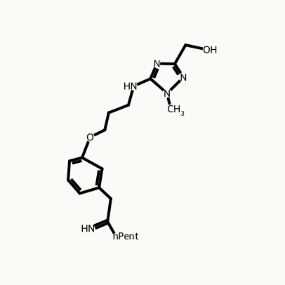 CCCCCC(=N)Cc1cccc(OCCCNc2nc(CO)nn2C)c1